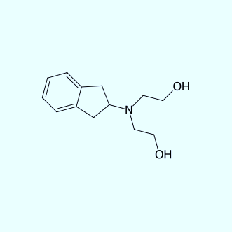 OCCN(CCO)C1Cc2ccccc2C1